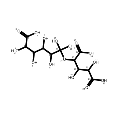 CC(C(=O)O)C(O)C(O)C(O)C(C)(O)OC(C(=O)O)C(O)C(O)C(=O)O